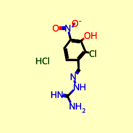 Cl.N=C(N)NN=Cc1ccc([N+](=O)[O-])c(O)c1Cl